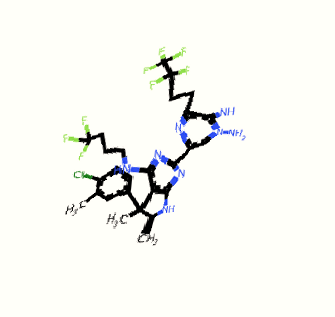 C=C1Nc2nc(-c3cn(N)c(=N)c(CCC(F)(F)C(F)(F)F)n3)nc(NCCCC(F)(F)F)c2C1(C)c1ccc(Cl)c(C)c1